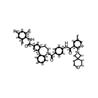 Cc1cnc(N2CC3(CCOCC3)C2)c(C(=O)Nc2ccc(C(=O)N3CCc4cc(C(=O)Nc5c(F)cc(F)cc5F)sc4-c4ccccc43)cc2)c1